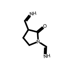 N=CC1CCN(C=N)C1=O